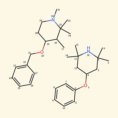 CC1(C)CC(Oc2ccccc2)CC(C)(C)N1.CC1C(OCc2ccccc2)CCN(C)C1(C)C